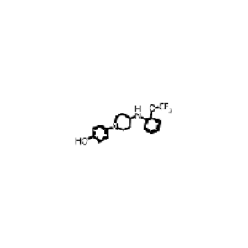 Oc1ccc(N2CCC(Nc3ccccc3OC(F)(F)F)CC2)cc1